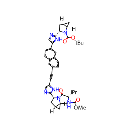 COC(=O)N[C@H](C(=O)N1[C@@H]2C[C@@H]2C[C@H]1c1ncc(C#Cc2ccc3cc(-c4cnc([C@@H]5C[C@H]6C[C@H]6N5C(=O)OC(C)(C)C)[nH]4)ccc3c2)[nH]1)C(C)C